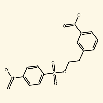 O=[N+]([O-])c1ccc(S(=O)(=O)OCCc2cccc([N+](=O)[O-])c2)cc1